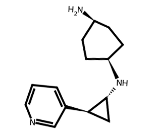 N[C@H]1CC[C@@H](N[C@@H]2C[C@H]2c2cccnc2)CC1